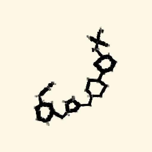 CC(C)S(=O)(=O)Nc1cccc(C2CCN(Cc3cn(Cc4cc(N=[N+]=[N-])ccn4)nn3)CC2)c1